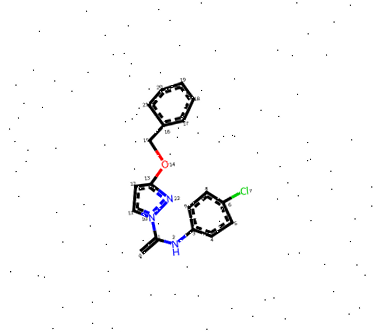 C=C(Nc1ccc(Cl)cc1)n1ccc(OCc2ccccc2)n1